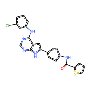 O=C(Nc1ccc(-c2cc3c(Nc4cccc(Cl)c4)ncnc3[nH]2)cc1)c1cccs1